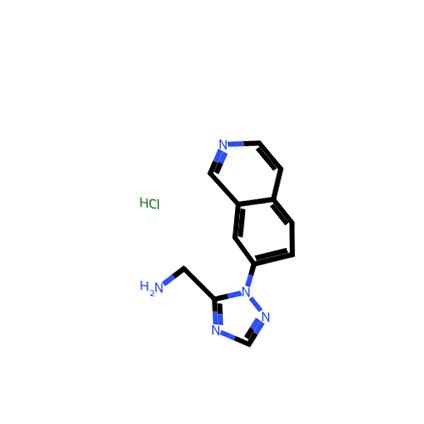 Cl.NCc1ncnn1-c1ccc2ccncc2c1